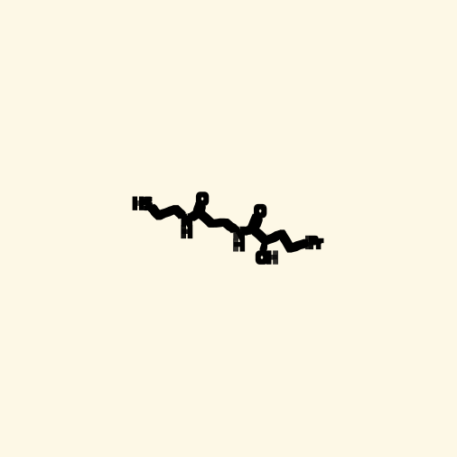 CC(C)CC[C@@H](O)C(=O)NCCC(=O)NCCS